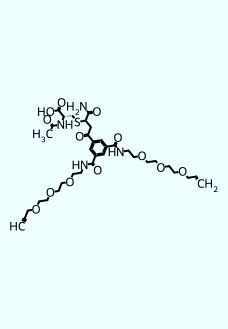 C#CCOCCOCCOCCNC(=O)c1cc(C(=O)CC(SC[C@H](NC(C)=O)C(=O)O)C(N)=O)cc(C(=O)NCCOCCOCCOCC=C)c1